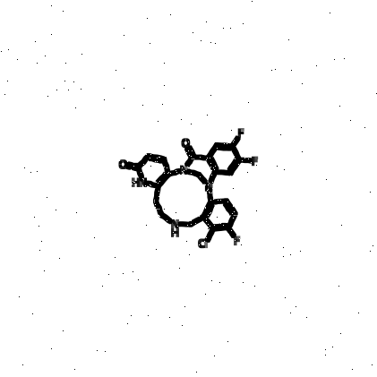 O=C1c2cc(F)c(F)cc2N2CN1c1ccc(=O)[nH]c1CCNCc1c2ccc(F)c1Cl